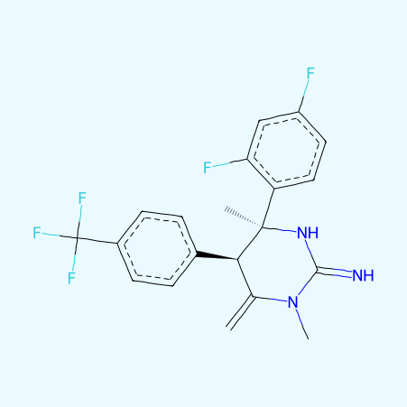 C=C1[C@@H](c2ccc(C(F)(F)F)cc2)[C@@](C)(c2ccc(F)cc2F)NC(=N)N1C